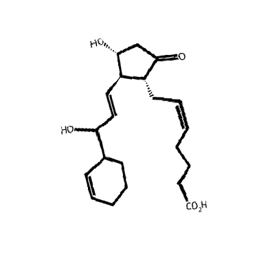 O=C(O)CCC/C=C\C[C@H]1C(=O)C[C@@H](O)[C@@H]1/C=C/C(O)C1C=CCCC1